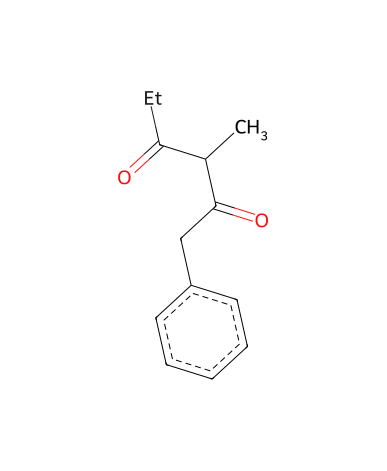 CCC(=O)C(C)C(=O)Cc1ccccc1